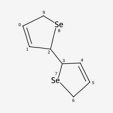 C1=CC(C2C=CC[Se]2)[Se]C1